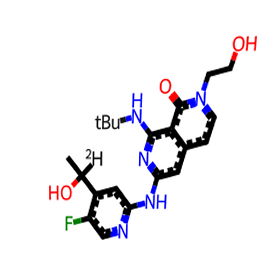 [2H]C(C)(O)c1cc(Nc2cc3ccn(CCO)c(=O)c3c(NC(C)(C)C)n2)ncc1F